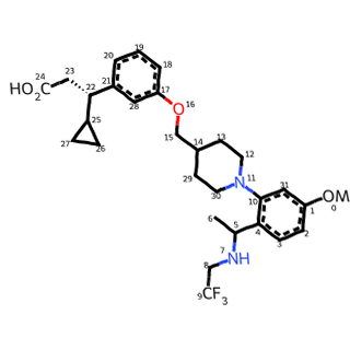 COc1ccc(C(C)NCC(F)(F)F)c(N2CCC(COc3cccc([C@@H](CC(=O)O)C4CC4)c3)CC2)c1